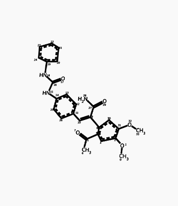 COc1cc(C(C)=O)c(/C(=C/c2ccc(NC(=O)Nc3ccccc3)cc2)C(N)=O)cc1OC